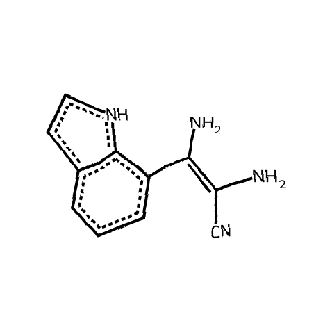 N#C/C(N)=C(/N)c1cccc2cc[nH]c12